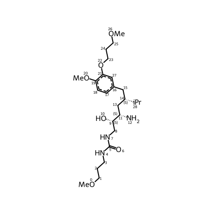 COCCCNC(=O)NC[C@H](O)[C@@H](N)C[C@H](Cc1ccc(OC)c(OCCCOC)c1)C(C)C